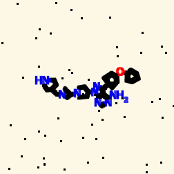 Nc1ncnc2c1c(-c1ccc(Oc3ccccc3)cc1)nn2C1CCN(C2CN(CC3CCNCC3)C2)CC1